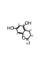 Oc1cc(O)c2c(c1)O[C@@H](I)CC2